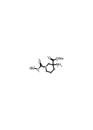 COC(=O)C1(N)CCCN(C(=O)OC(C)(C)C)C1